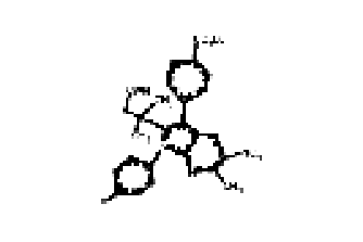 CCOC(=O)c1ccc(-c2c(C(C)(C)COC)n(-c3ccc(F)cc3)c3nc(C)c([N+](=O)[O-])cc23)cc1